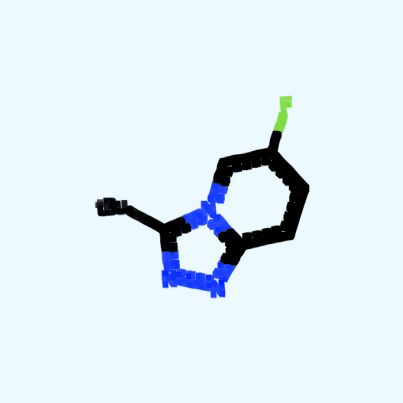 CC(C)(C)c1nnc2ccc(F)cn12